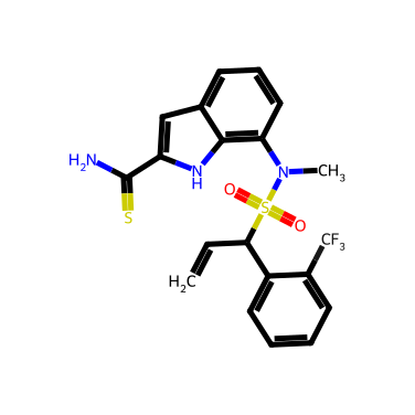 C=CC(c1ccccc1C(F)(F)F)S(=O)(=O)N(C)c1cccc2cc(C(N)=S)[nH]c12